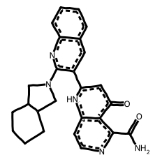 NC(=O)c1nccc2[nH]c(-c3cc4ccccc4nc3N3CC4CCCCC4C3)cc(=O)c12